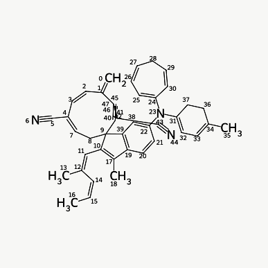 C=C1/C=C\C(C#N)=C/CC2(C(/C=C(C)\C=C/C)=C(C)c3ccc(N(C4=CC=CCC=C4)C4=CC=C(C)CC4)cc32)c2cc(C#N)ccc21